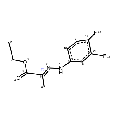 CCOC(=O)/C(C)=N/Nc1ccc(F)c(F)c1